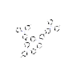 Cc1ccc(N(c2ccccc2)c2ccc(-c3ccc(N(c4ccc(C)cc4)c4cccc(-c5cccc(N(c6ccccc6)c6ccc(-c7ccc(N(c8ccccc8)c8cccc(C)c8)cc7)cc6)c5)c4)cc3)cc2)cc1